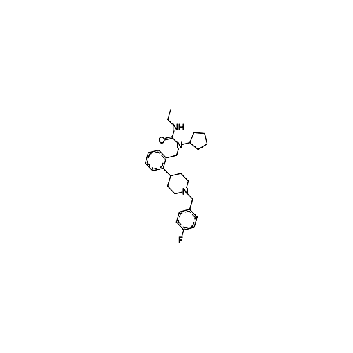 CCNC(=O)N(Cc1ccccc1C1CCN(Cc2ccc(F)cc2)CC1)C1CCCC1